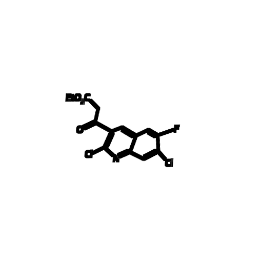 CCOC(=O)CC(=O)c1cc2cc(F)c(Cl)cc2nc1Cl